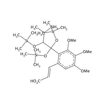 COc1cc(C=CC(=O)O)c(C(O[Si](C)(C)C)(O[Si](C)(C)C)C(O[Si](C)(C)C)C(C)[SiH3])c(OC)c1OC